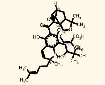 CC(C)=CCC[C@]1(C)C=Cc2c(O)c3c(c(CC(O)C(C)(C)O)c2O1)O[C@]12C(=C[C@@H]4CC1C(C)(C)O[C@@]2(C/C=C(/C)C(=O)O)C4=O)C3=O